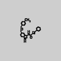 Cc1ccc(COCc2ccc3[nH]cc(NC(=O)C45CC(c6ccccc6)(C4)C5)c3c2)cc1